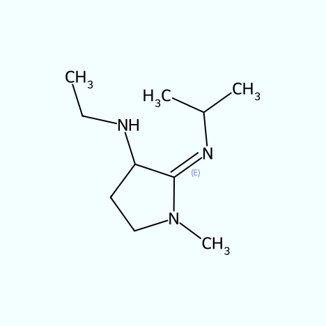 CCNC1CCN(C)/C1=N/C(C)C